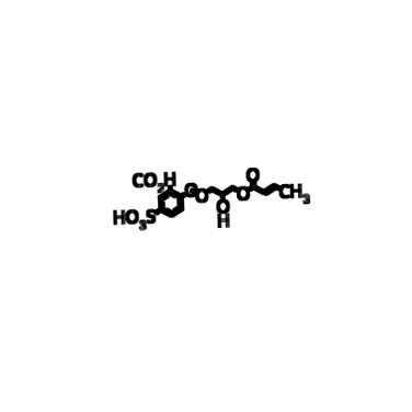 CC=CC(=O)OCC(O)COOc1ccc(S(=O)(=O)O)cc1C(=O)O